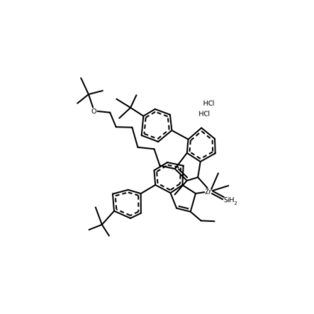 CCC1=Cc2c(-c3ccc(C(C)(C)C)cc3)cccc2[CH]1[Zr]([CH3])([CH3])(=[SiH2])[CH]1C(C)=C(CCCCCCOC(C)(C)C)c2c(-c3ccc(C(C)(C)C)cc3)cccc21.Cl.Cl